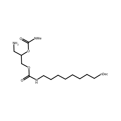 CCCCCCCCCCCCCCCCCCNC(=O)OCC(CN)OC(=O)NC